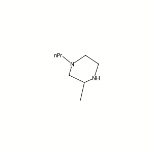 CCCN1CCNC(C)C1